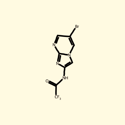 O=C(Nc1cn2cc(Br)cnc2n1)C(F)(F)F